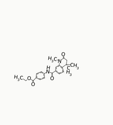 CCOC(=O)c1ccc(NC(=O)c2ccc3c(c2)N(C)C(=O)CC3(C)C)cc1